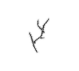 CCCCCCCCCCCCN(CCCCCCCCCCCC)C(=O)CCCCCCCN(CCO)CCCCCCCC(=O)N(CCCCCCCCCCCC)CCCCCCCCCCCC